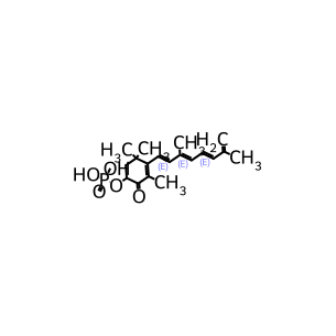 C=C(C)/C=C/C=C(C)/C=C/C1=C(C)C(=O)C(OP(=O)(O)O)CC1(C)C